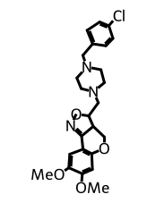 COc1cc2c(cc1OC)C1=NOC(CN3CCN(Cc4ccc(Cl)cc4)CC3)C1CO2